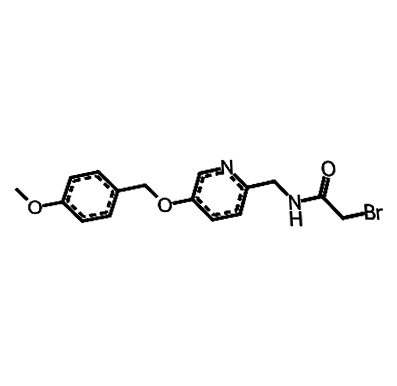 COc1ccc(COc2ccc(CNC(=O)CBr)nc2)cc1